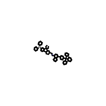 CCC1(CC)C2=C(CCC(/C=C/c3ccc(-c4ccc(C(c5ccccc5)(c5ccccc5)c5ccccc5)cc4)c4ccccc34)=C2)c2ccc(N(c3ccccc3)c3ccccc3)cc21